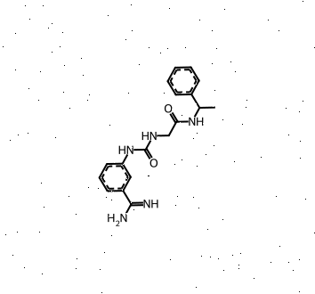 CC(NC(=O)CNC(=O)Nc1cccc(C(=N)N)c1)c1ccccc1